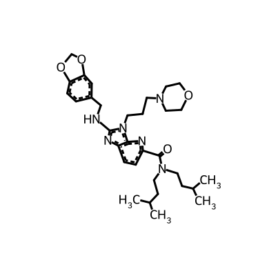 CC(C)CCN(CCC(C)C)C(=O)c1ccc2nc(NCc3ccc4c(c3)OCO4)n(CCCN3CCOCC3)c2n1